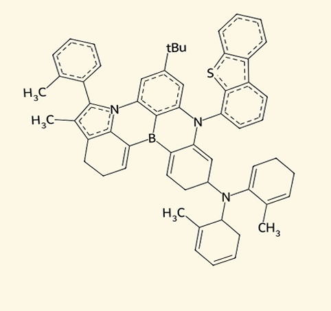 CC1=CCCC=C1N(C1C=C2C(=CC1)B1C3=CCCc4c(C)c(-c5ccccc5C)n(c43)-c3cc(C(C)(C)C)cc(c31)N2c1cccc2c1sc1ccccc12)C1CC=CC=C1C